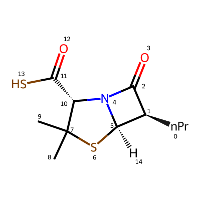 CCC[C@@H]1C(=O)N2[C@@H]1SC(C)(C)[C@@H]2C(=O)S